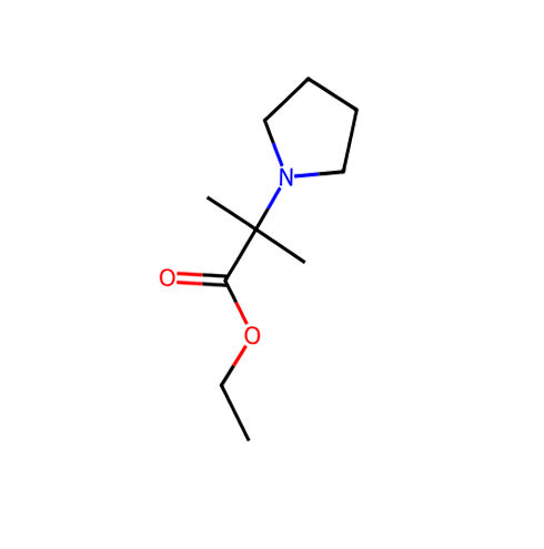 CCOC(=O)C(C)(C)N1CCCC1